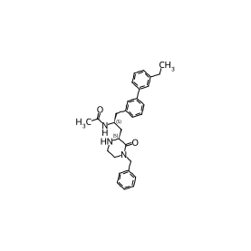 CCc1cccc(-c2cccc(C[C@@H](C[C@@H]3NCCN(Cc4ccccc4)C3=O)NC(C)=O)c2)c1